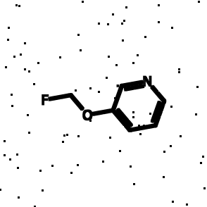 FCOc1[c]nccc1